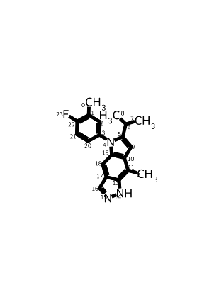 Cc1cc(-n2c(C(C)C)cc3c(C)c4[nH]ncc4cc32)ccc1F